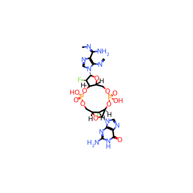 C=Nc1c(/C(N)=N\C)ncn1[C@@H]1O[C@@H]2COP(=O)(O)O[C@@H]3[C@H](F)[C@@H](COP(=O)(O)O[C@H]2[C@H]1F)O[C@H]3n1cnc2c(=O)[nH]c(N)nc21